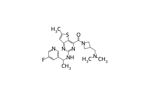 Cc1cc2nc(NC(C)c3cncc(F)c3)nc(C(=O)N3CC(CN(C)C)C3)c2s1